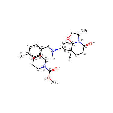 CC(C)[C@H]1CO[C@]23CC[C@H](N(Cc4ccc(C(F)(F)F)cc4)C[C@H]4CCCCN4C(=O)OC(C)(C)C)C[C@H]2CCC(=O)N13